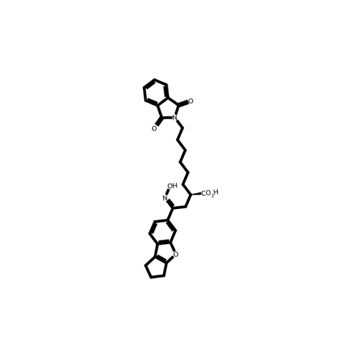 O=C(O)[C@H](CCCCCCN1C(=O)c2ccccc2C1=O)CC(=NO)c1ccc2c3c(oc2c1)CCC3